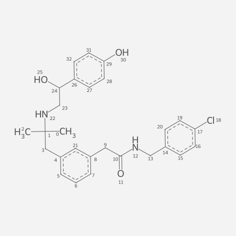 CC(C)(Cc1cccc(CC(=O)NCc2ccc(Cl)cc2)c1)NCC(O)c1ccc(O)cc1